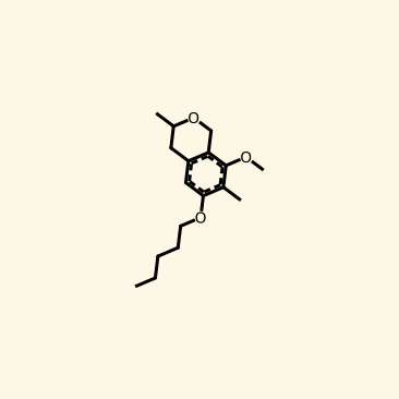 CCCCCOc1cc2c(c(OC)c1C)COC(C)C2